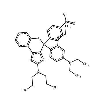 CCOc1cc(N(CC)CC)ccc1C1(c2ccc([N+](=O)[O-])cc2)Oc2ccccc2-c2nc(N(CCO)CCO)sc21